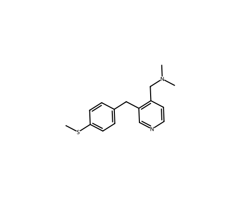 CSc1ccc(Cc2cnccc2CN(C)C)cc1